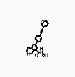 O=C(NO)c1cc(-c2ccc(C#Cc3cccnc3)cc2)cc2ccncc12